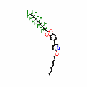 CCCCCCCCOc1ccc(-c2ccc3c(c2)OC(C(F)(F)C(F)(F)C(F)(F)C(F)(F)C(F)(F)C(F)(F)C(F)(F)F)O3)cn1